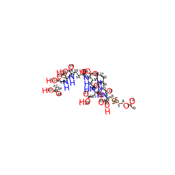 CC(=O)OCCSSC[C@H](NC(=O)[C@H](Cc1ccccc1)NC(=O)[C@H](CC(=O)O)NC(=O)CC[C@H](NC(=O)CC[C@@H](NC(=S)N[C@H](CCC(=O)O)C(=O)O)C(=O)O)C(=O)O)C(=O)O